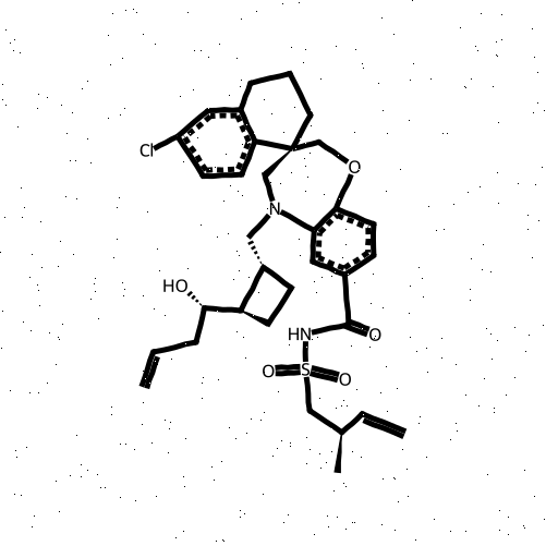 C=CC[C@H](O)[C@@H]1CC[C@H]1CN1C[C@@]2(CCCc3cc(Cl)ccc32)COc2ccc(C(=O)NS(=O)(=O)C[C@H](C)C=C)cc21